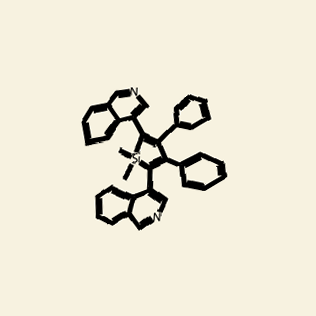 C[Si]1(C)C(c2cncc3ccccc23)=C(c2ccccc2)C(c2ccccc2)=C1c1cncc2ccccc12